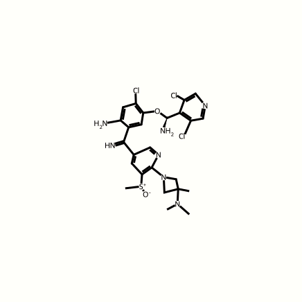 CN(C)C1(C)CN(c2ncc(C(=N)c3cc(O[C@H](N)c4c(Cl)cncc4Cl)c(Cl)cc3N)cc2[S+](C)[O-])C1